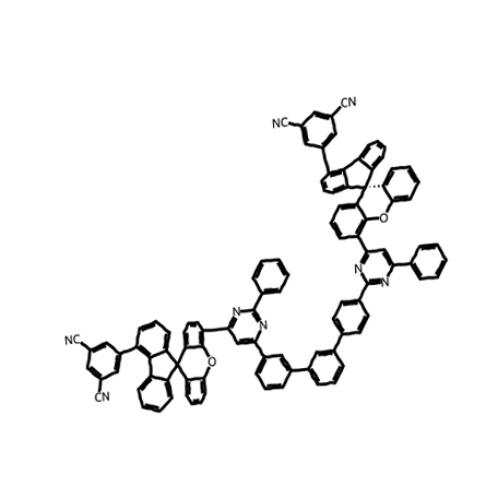 N#Cc1cc(C#N)cc(-c2cccc3c2-c2ccccc2C32c3ccccc3Oc3c(-c4cc(-c5cccc(-c6cccc(-c7ccc(-c8nc(-c9ccccc9)cc(-c9cccc%10c9Oc9ccccc9[C@]%109c%10ccccc%10-c%10c(-c%11cc(C#N)cc(C#N)c%11)cccc%109)n8)cc7)c6)c5)nc(-c5ccccc5)n4)cccc32)c1